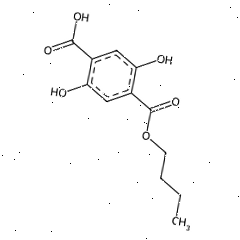 CCCCOC(=O)c1cc(O)c(C(=O)O)cc1O